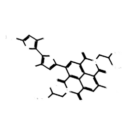 CCCCCCCCCCC(CCCCCCCCCC)CN1C(=O)c2cc(-c3cc(F)c(-c4sc(C)cc4F)s3)c3c4c(cc(C)c(c24)C1=O)C(=O)N(CC(CCCCCCCCCC)CCCCCCCCCC)C3=O